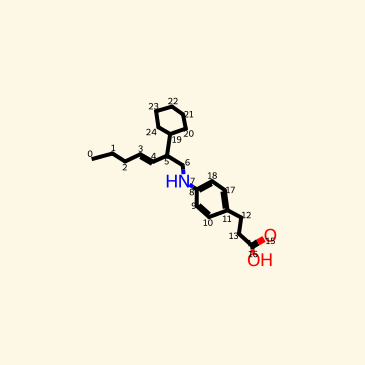 CCCC=CC(CNc1ccc(CCC(=O)O)cc1)C1CCCCC1